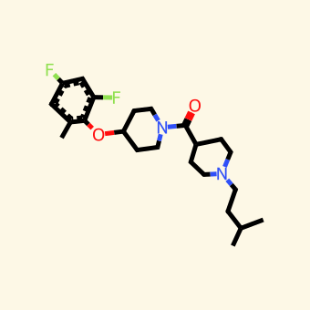 Cc1cc(F)cc(F)c1OC1CCN(C(=O)C2CCN(CCC(C)C)CC2)CC1